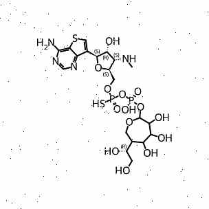 CN[C@H]1[C@@H](O)[C@H](c2csc3c(N)ncnc23)O[C@@H]1COP(=O)(S)OP(=O)(O)OC1OCC([C@@H](O)CO)C(O)C(O)C1O